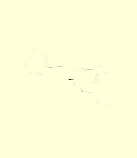 CCOC(=O)[C@@H](CCc1ccccc1)NS(C)(=O)=O